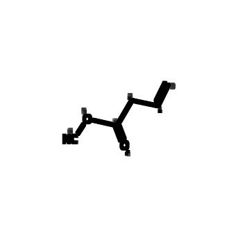 C=CCC(=O)OC#N